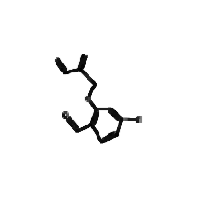 C=CC(=C)COc1cc(Cl)ccc1C=O